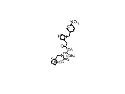 CC[C@H](C)[C@@H](CN(Cc1cccs1)C(=S)NC)NC(=O)Cc1cncn1Cc1ccc([N+](=O)[O-])cc1